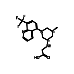 C[C@H]1C[C@@H](NCC(=O)O)CN(c2ccc(C(F)(F)I)c3ncccc23)C1